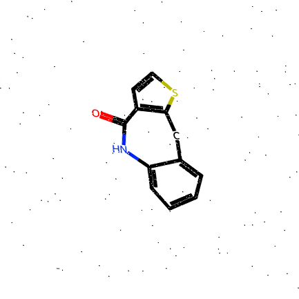 O=C1Nc2ccccc2Cc2sccc21